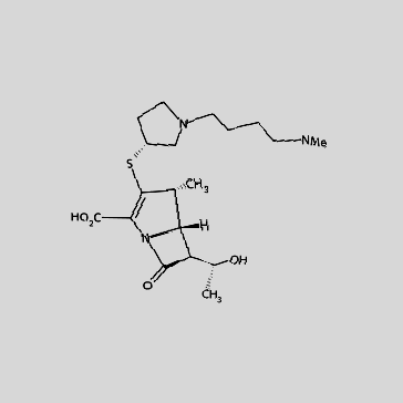 CNCCCCN1CC[C@@H](SC2=C(C(=O)O)N3C(=O)[C@H]([C@@H](C)O)[C@H]3[C@H]2C)C1